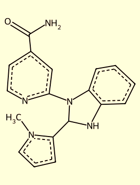 Cn1cccc1C1Nc2ccccc2N1c1cc(C(N)=O)ccn1